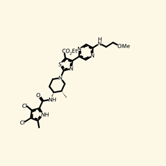 CCOC(=O)c1sc(N2CC[C@@H](NC(=O)c3[nH]c(C)c(Cl)c3Cl)[C@@H](C)C2)nc1-c1cnc(NCCOC)cn1